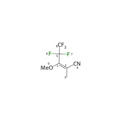 COC(=C(C)C#N)C(F)(F)C(F)(F)F